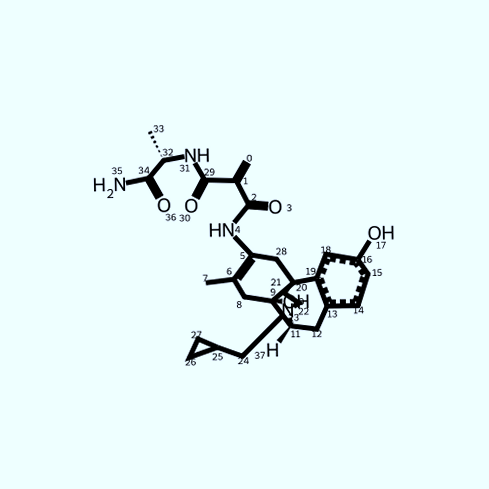 C=C(C(=O)NC1=C(C)C[C@@]2(O)[C@H]3Cc4ccc(O)cc4[C@@]2(CCN3CC2CC2)C1)C(=O)N[C@@H](C)C(N)=O